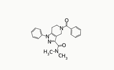 CN(C)C(=O)c1nn(-c2ccccc2)c2c1CN(C(=O)c1ccccc1)CC2